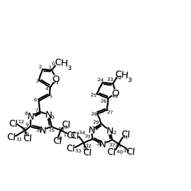 Cc1ccc(C=Cc2nc(C(Cl)(Cl)Cl)nc(C(Cl)(Cl)Cl)n2)o1.Cc1ccc(C=Cc2nc(C(Cl)(Cl)Cl)nc(C(Cl)(Cl)Cl)n2)o1